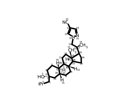 CC(C)C[C@@]1(O)CC[C@H]2[C@H](CC[C@@H]3[C@@H]2CC[C@]2(C)C([C@H](C)Cn4cc(C#N)cn4)CC[C@@H]32)C1